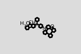 CC1(C)c2ccccc2-c2ccc(C(c3ccccc3)c3ccc(-n4c5cccc6c7ccccc7c7cccc8oc9ccc4c(c9c87)c65)cc3)cc21